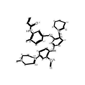 C=CC(=O)Nc1cc(Sc2nc(Nc3ccc(N4CCN(C)CC4)cc3OC)ccc2N2CCCCC2)ccc1C